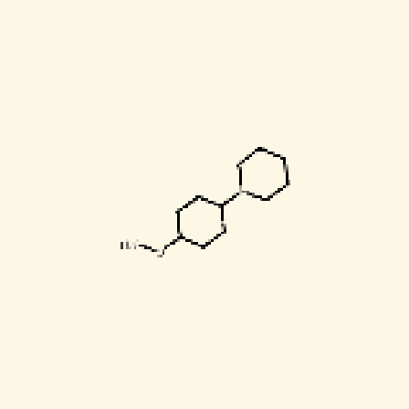 COC1CCC(N2CCCCC2)CC1